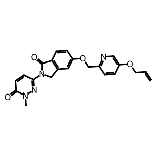 C=CCOc1ccc(COc2ccc3c(c2)CN(c2ccc(=O)n(C)n2)C3=O)nc1